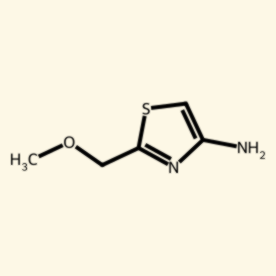 COCc1nc(N)cs1